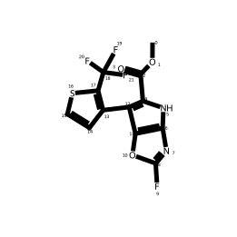 COC(=O)c1[nH]c2nc(F)oc2c1-c1ccsc1C(F)(F)F